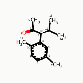 CC(=O)[C@H](c1cc(C)ccc1C)C(C)C